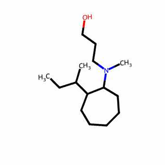 CCC(C)C1CCCCCC1N(C)CCCO